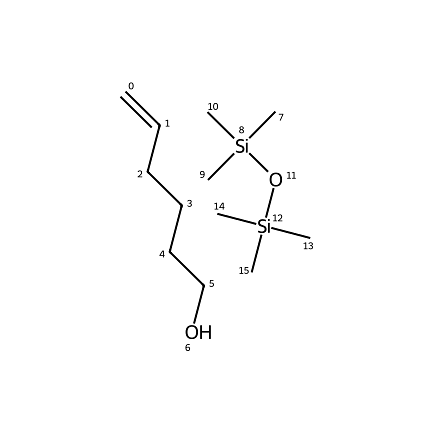 C=CCCCCO.C[Si](C)(C)O[Si](C)(C)C